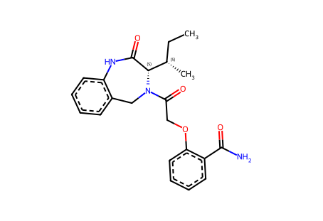 CC[C@H](C)[C@H]1C(=O)Nc2ccccc2CN1C(=O)COc1ccccc1C(N)=O